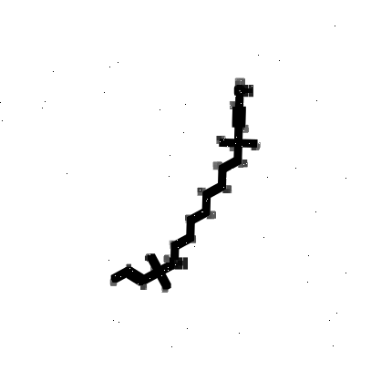 CC=CC(C)(C)NCCCCCCCCC(C)(C)C#CO